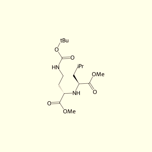 COC(=O)[C@H](CCNC(=O)OC(C)(C)C)N[C@@H](CC(C)C)C(=O)OC